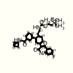 CNC(=O)c1c(-c2ccc(F)cc2)oc2cc(CCNC(=O)OCC[Si](C)(C)C)c(-c3cccc(C(=O)NC45CC(C4)C5)c3)cc12